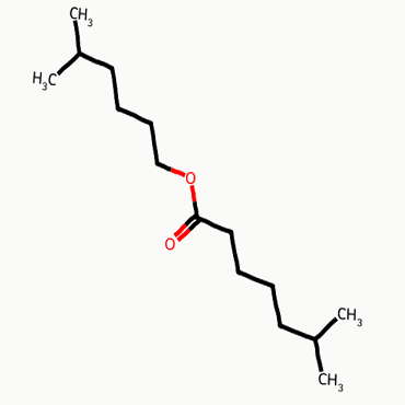 CC(C)CCCCOC(=O)CCCCC(C)C